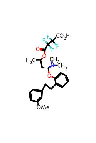 COc1cccc(CCc2ccccc2O[C@@H](CC(C)OC(=O)C(F)(F)C(F)(F)C(=O)O)N(C)C)c1